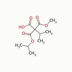 COC(=O)C(C(=O)O)(C(=O)OC(C)C)C(C)C